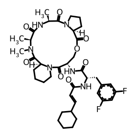 C[C@@H]1NC(=O)[C@H](C)N(C)C(=O)[C@@H]2CCCCN2C(=O)[C@@H](NC(=O)[C@H](Cc2cc(F)cc(F)c2)NC(=O)/C=C/C2CCCCC2)COC(=O)[C@@H]2CCCN2C1=O